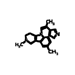 C/C(=C/n1c2c(c3cc(C)ccc31)CN(C)CC2)C1=CCN=C1